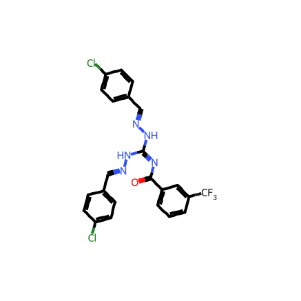 O=C(N=C(N/N=C/c1ccc(Cl)cc1)N/N=C/c1ccc(Cl)cc1)c1cccc(C(F)(F)F)c1